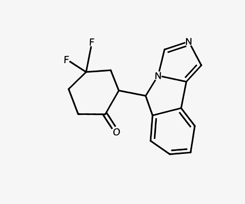 O=C1CCC(F)(F)CC1C1c2ccccc2-c2cncn21